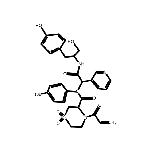 C=CC(=O)N1CCS(=O)(=O)CC1C(=O)N(c1ccc(C(C)(C)C)cc1)C(C(=O)NC(CO)Cc1ccc(O)cc1)c1cccnc1